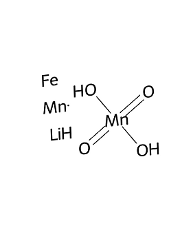 [Fe].[LiH].[Mn].[O]=[Mn](=[O])([OH])[OH]